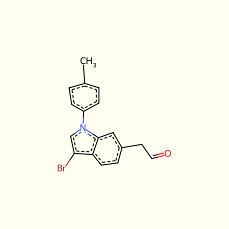 Cc1ccc(-n2cc(Br)c3ccc(CC=O)cc32)cc1